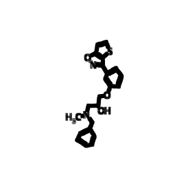 CN(Cc1ccccc1)CC(O)COc1cccc(-c2noc3ccsc23)c1